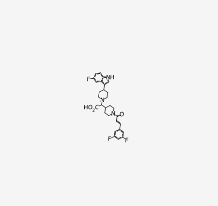 O=C(O)C(C1CCN(C(=O)C=Cc2cc(F)cc(F)c2)CC1)N1CCC(c2c[nH]c3ccc(F)cc23)CC1